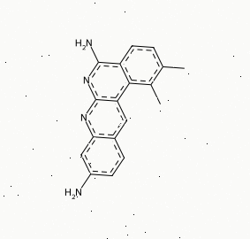 Cc1ccc2c(N)nc3nc4cc(N)ccc4cc3c2c1C